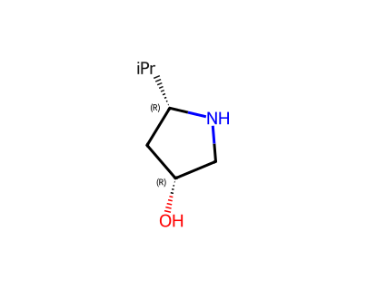 CC(C)[C@H]1C[C@@H](O)CN1